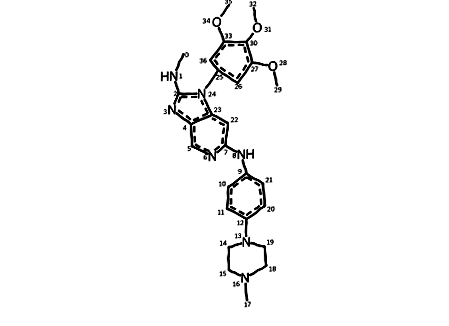 CNc1nc2cnc(Nc3ccc(N4CCN(C)CC4)cc3)cc2n1-c1cc(OC)c(OC)c(OC)c1